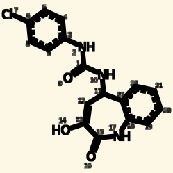 O=C(Nc1ccc(Cl)cc1)NC1C=C(O)C(=O)Nc2ccccc21